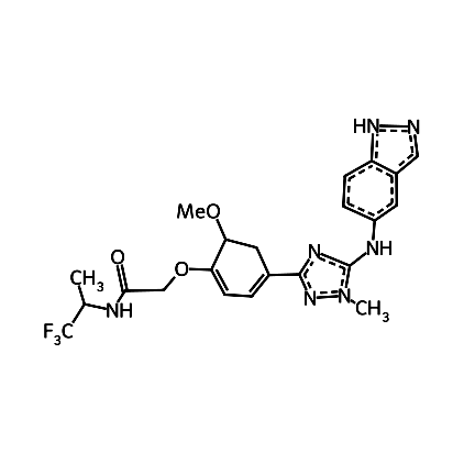 COC1CC(c2nc(Nc3ccc4[nH]ncc4c3)n(C)n2)=CC=C1OCC(=O)NC(C)C(F)(F)F